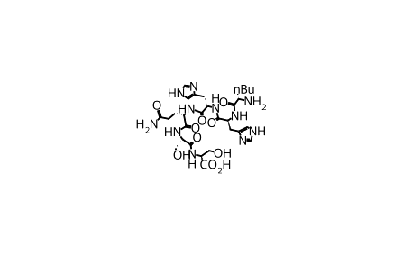 CCCC[C@H](N)C(=O)N[C@@H](Cc1c[nH]cn1)C(=O)N[C@@H](Cc1c[nH]cn1)C(=O)N[C@@H](CCC(N)=O)C(=O)N[C@@H](CO)C(=O)N[C@@H](CO)C(=O)O